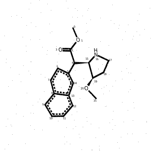 COC(=O)C(c1ccc2ccccc2c1)[C@H]1NCC[C@H]1OC